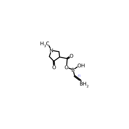 B/C=C/B(O)OC(=O)C1CN(C)CC1=O